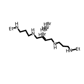 Br.Br.Br.Br.CCNCCCNCC=CCNCCCNCC